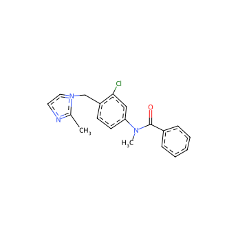 Cc1nccn1Cc1ccc(N(C)C(=O)c2ccccc2)cc1Cl